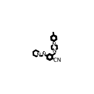 Cc1ccc(N2CCN(Cc3cc(N(C)CN4CCCCC4)ccc3C#N)CC2)cc1